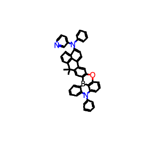 CC1(C)c2cc3c(cc2-c2ccc(N(c4ccccc4)c4cccnc4)c4cccc1c24)Oc1cccc2c1B3c1ccccc1N2c1ccccc1